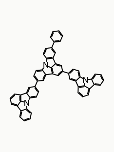 c1ccc(-c2ccc3c(c2)c2cc(-c4ccc5c(c4)c4cccc6c7ccccc7n5c64)cc4c5cc(-c6ccc7c(c6)c6cccc8c9ccccc9n7c86)ccc5n3c24)cc1